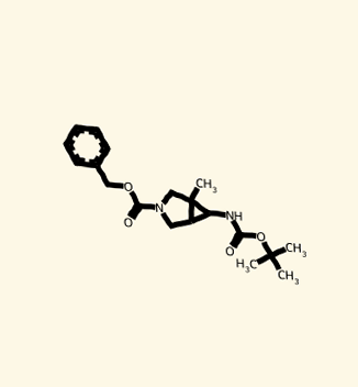 CC(C)(C)OC(=O)NC1C2CN(C(=O)OCc3ccccc3)CC21C